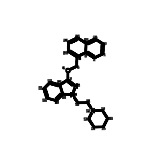 c1ccc2c(COc3nn(CCN4CCCCC4)c4ccccc34)cccc2c1